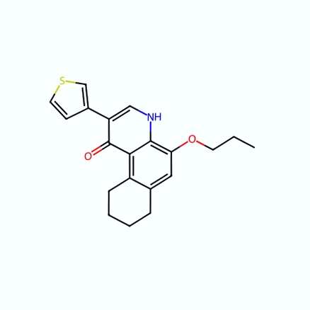 CCCOc1cc2c(c3c(=O)c(-c4ccsc4)c[nH]c13)CCCC2